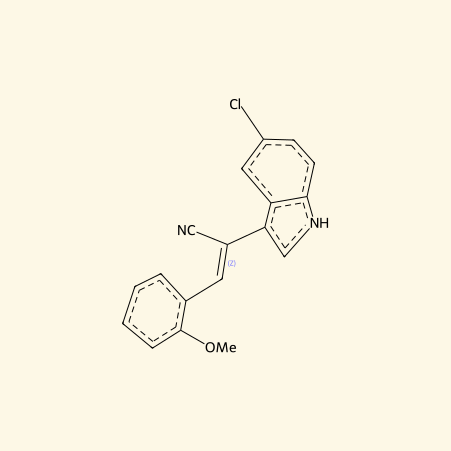 COc1ccccc1/C=C(\C#N)c1c[nH]c2ccc(Cl)cc12